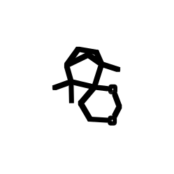 CC12CCC(C1)C(C)(C)C21CCOCO1